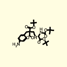 CC(C)(C)OC(=O)N[C@@H](CCC(Cc1ccc(N)cc1)(C(=O)O)C(=O)OC(C)(C)C)C(=O)OC(C)(C)C